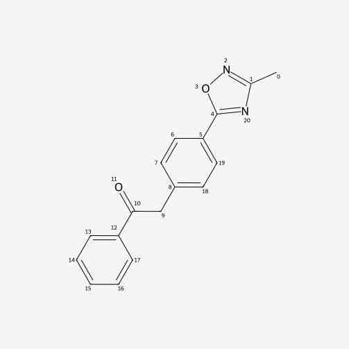 Cc1noc(-c2ccc(CC(=O)c3ccccc3)cc2)n1